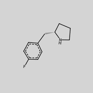 Fc1ccc(C[C@@H]2CCCN2)cc1